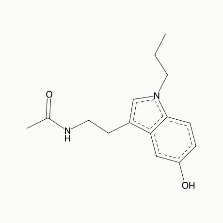 CCCn1cc(CCNC(C)=O)c2cc(O)ccc21